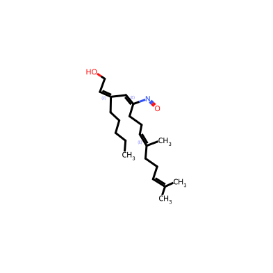 CCCCCC(=C/CO)/C=C(\CC/C=C(\C)CCC=C(C)C)N=O